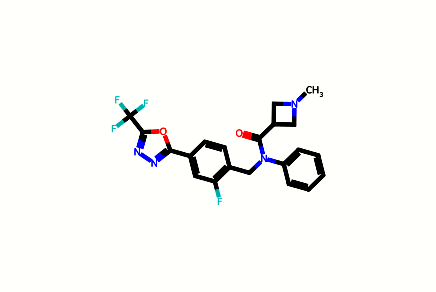 CN1CC(C(=O)N(Cc2ccc(-c3nnc(C(F)(F)F)o3)cc2F)c2ccccc2)C1